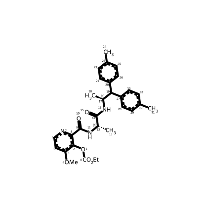 CCOC(=O)Oc1c(OC)ccnc1C(=O)N[C@@H](C)C(=O)N[C@@H](C)C(c1ccc(C)cc1)c1ccc(C)cc1